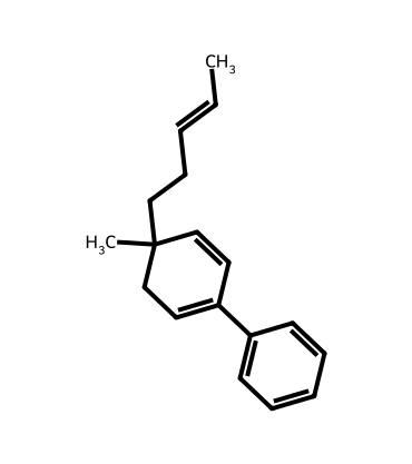 C/C=C/CCC1(C)C=CC(c2ccccc2)=CC1